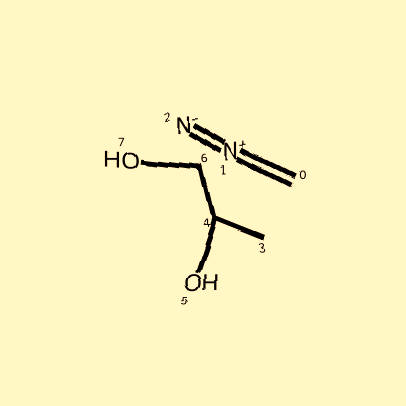 C=[N+]=[N-].CC(O)CO